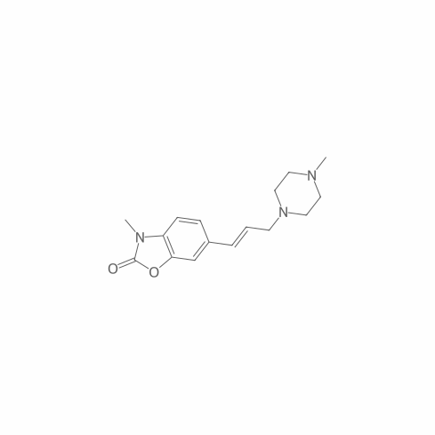 CN1CCN(C/C=C/c2ccc3c(c2)oc(=O)n3C)CC1